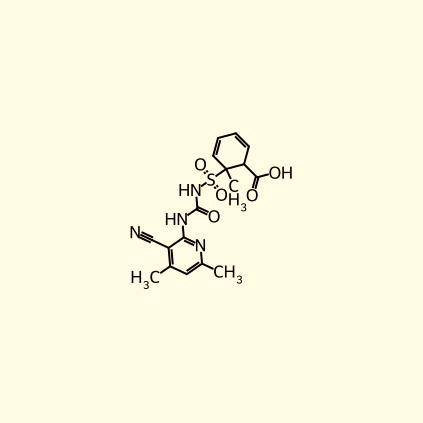 Cc1cc(C)c(C#N)c(NC(=O)NS(=O)(=O)C2(C)C=CC=CC2C(=O)O)n1